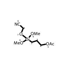 CO[Si](CCCOC(C)=O)(OC)OCC#N